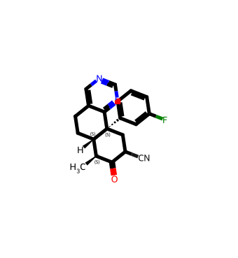 C[C@@H]1C(=O)C(C#N)C[C@]2(c3cccc(F)c3)c3ncncc3CC[C@@H]12